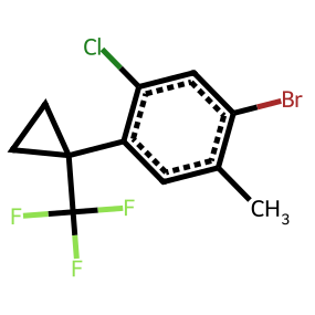 Cc1cc(C2(C(F)(F)F)CC2)c(Cl)cc1Br